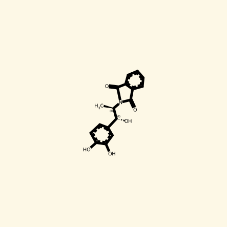 C[C@H]([C@H](O)c1ccc(O)c(O)c1)N1C(=O)c2ccccc2C1=O